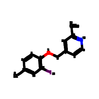 CCc1ccc(OCc2ccnc(OC)c2)c(I)c1